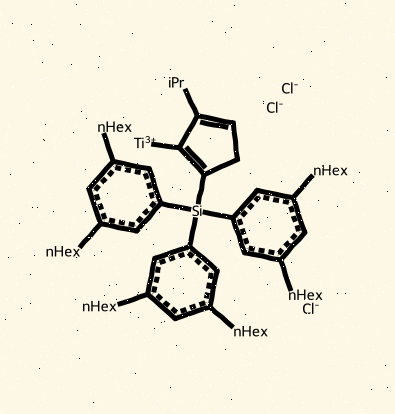 CCCCCCc1cc(CCCCCC)cc([Si](C2=[C]([Ti+3])C(C(C)C)=CC2)(c2cc(CCCCCC)cc(CCCCCC)c2)c2cc(CCCCCC)cc(CCCCCC)c2)c1.[Cl-].[Cl-].[Cl-]